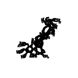 CC(=O)O[C@@H]1C[C@]23C4=CC[C@@]5(C)[C@H](C(=O)O)[C@@](C)([C@H](C)C(C)C)CC[C@]5(C)[C@H]4CC[C@@H]2[C@@](C)(COC3O)[C@H]1O[C@@H]1O[C@H](CO)[C@@H](O)[C@H](O)[C@H]1O